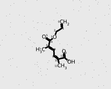 C=CCOC(=O)C(C)=CC=C(C)C(=O)O